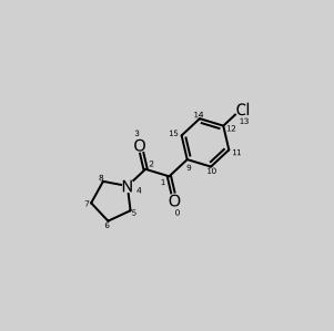 O=C(C(=O)N1CCCC1)c1ccc(Cl)cc1